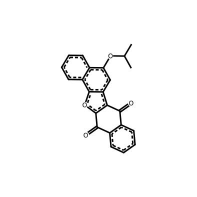 CC(C)Oc1cc2c3c(oc2c2ccccc12)C(=O)c1ccccc1C3=O